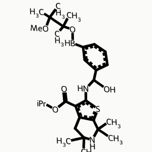 COC(C)(C)C(C)(C)OBc1cccc(C(O)Nc2sc3c(c2C(=O)OC(C)C)CC(C)(C)NC3(C)C)c1